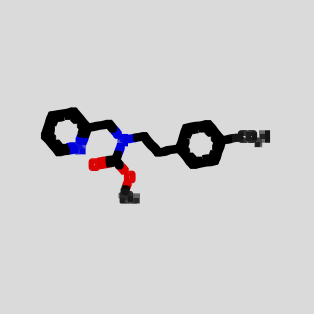 CC(C)(C)OC(=O)N(CCc1ccc(C(=O)O)cc1)Cc1ccccn1